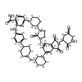 CN1CCN([C@@H]2CCCN(c3cnc(C(N)=O)c(Nc4ccc(C5CCN(C[C@@H]6CCCN(c7ccc8c(c7)C(=O)N(C7CC(=O)CNC7=O)C8=O)C6)CC5)cc4)n3)C2)C1=O